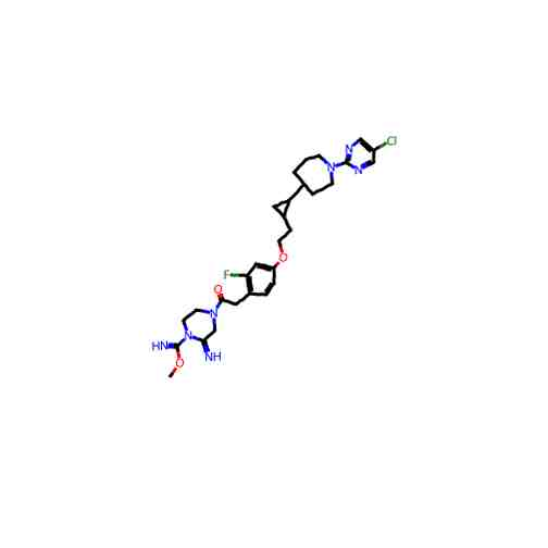 COC(=N)N1CCN(C(=O)Cc2ccc(OCCC3CC3C3CCCN(c4ncc(Cl)cn4)CC3)cc2F)CC1=N